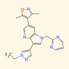 Cc1noc(C)c1-c1cnc2c(-c3cnn(CC(F)(F)F)c3)cn(Cc3ncccn3)c2c1